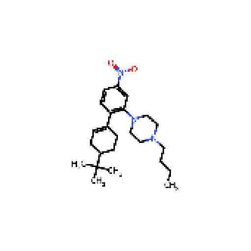 CCCCN1CCN(c2cc([N+](=O)[O-])ccc2C2=CCC(C(C)(C)C)CC2)CC1